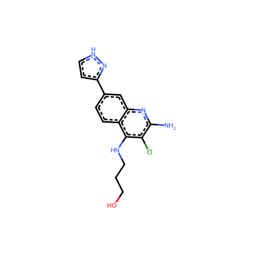 Nc1nc2cc(-c3cc[nH]n3)ccc2c(NCCCO)c1Cl